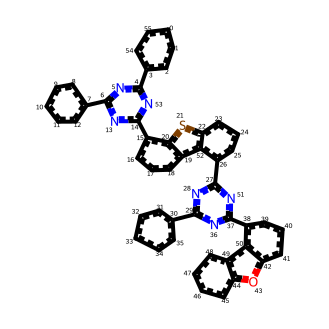 c1ccc(-c2nc(-c3ccccc3)nc(-c3cccc4c3sc3cccc(-c5nc(-c6ccccc6)nc(-c6cccc7oc8ccccc8c67)n5)c34)n2)cc1